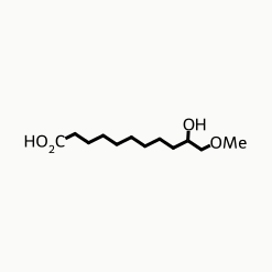 COCC(O)CCCCCCCCC(=O)O